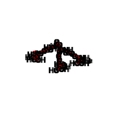 CC(=O)N[C@H]1[C@H](OCCOCCOCCOCC(=O)NCCCC[C@H](NC(=O)C(CCCCNC(=O)COCCOCCOCCO[C@@H]2O[C@H](CO)[C@H](O)[C@H](O)[C@H]2N)NC(=O)COCCOCCOCCO[C@@H]2O[C@H](CCO)[C@H](O)[C@H](O)[C@H]2NC(C)=O)C(C)=O)O[C@H](CO)[C@H](O)[C@@H]1O